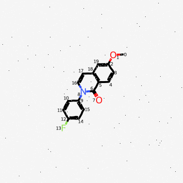 COc1ccc2c(=O)n(-c3ccc(F)cc3)ccc2c1